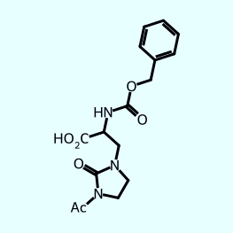 CC(=O)N1CCN(CC(NC(=O)OCc2ccccc2)C(=O)O)C1=O